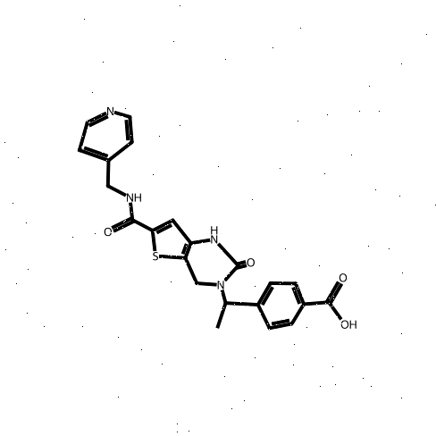 CC(c1ccc(C(=O)O)cc1)N1Cc2sc(C(=O)NCc3ccncc3)cc2NC1=O